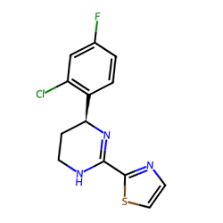 Fc1ccc([C@@H]2CCNC(c3nccs3)=N2)c(Cl)c1